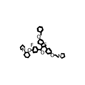 O=C(c1ccc(OC2CCCCC2N2CCCC2)c(F)c1)c1c(-c2ccc(OCCN3CCCC3)cc2)sc2cc(OCc3ccccc3)ccc12